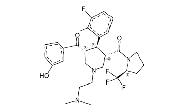 Cc1c(F)cccc1[C@@H]1[C@@H](C(=O)c2cccc(O)c2)CN(CCN(C)C)C[C@H]1C(=O)N1CCC[C@H]1C(F)(F)F